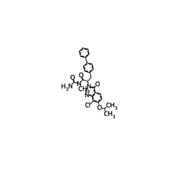 CC(C)Oc1ccc2c(=O)n(C(Cc3ccc(-c4ccccc4)cc3)C(=O)N(C)C(N)=O)cnc2c1Cl